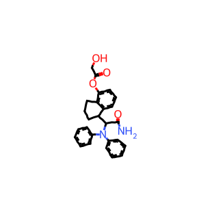 NC(=O)C(C1CCCc2c(OC(=O)CO)cccc21)N(c1ccccc1)c1ccccc1